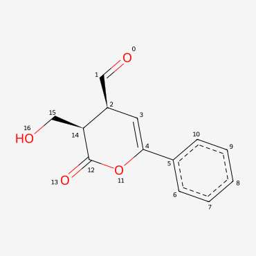 O=C[C@H]1C=C(c2ccccc2)OC(=O)[C@H]1CO